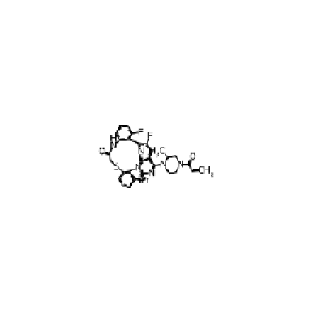 C=CC(=O)N1CCN(c2nc(=O)n3c4nc(c(F)cc24)-c2c(F)cccc2NC(=O)CSc2cccc(C(C)C)c2-3)[C@@H](C)C1